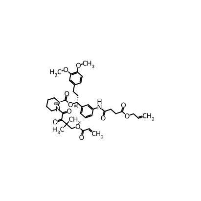 C=CCOC(=O)CCC(=O)Nc1cccc([C@@H](CCc2ccc(OC)c(OC)c2)OC(=O)[C@@H]2CCCCN2C(=O)C(=O)C(C)(C)COC(=O)C=C)c1